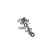 COc1cc(C(=O)C(C)(C)P(=O)(O)O)ccc1OCC(=O)Nc1nc2ccccc2s1